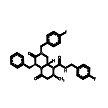 CN1CC(=O)N2[C@@H](Cc3ccccc3)C(=O)N(Cc3ccc(F)cc3)C[C@@H]2N1C(=O)NCc1ccc(F)cc1